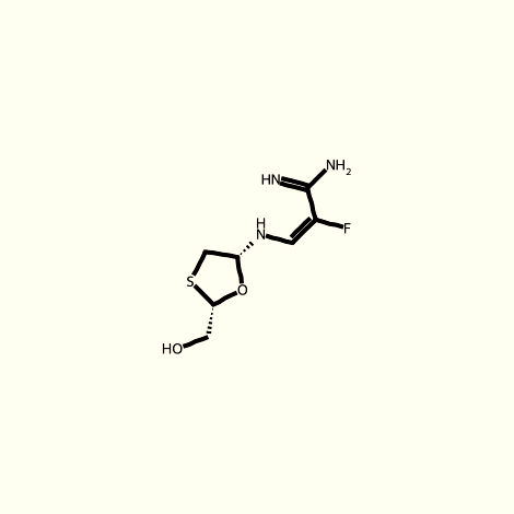 N=C(N)/C(F)=C\N[C@H]1CS[C@@H](CO)O1